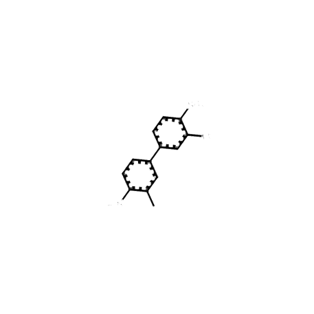 CCc1cc(-c2ccc(N)c(C)c2)ccc1N